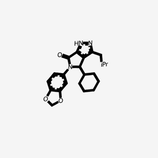 CC(C)Cc1n[nH]c2c1C(C1CCCCC1)N(c1ccc3c(c1)OCO3)C2=O